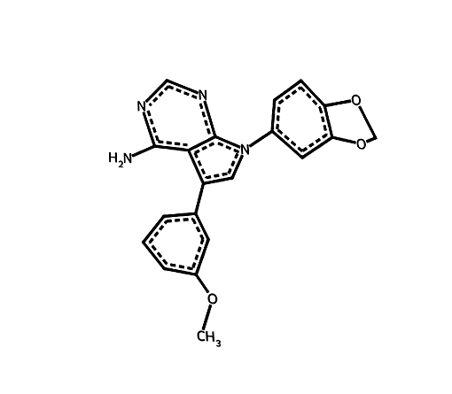 COc1cccc(-c2cn(-c3ccc4c(c3)OCO4)c3ncnc(N)c23)c1